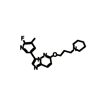 Cc1cc(-c2cnc3ccc(OCCCN4CCCCC4)nn23)cnc1F